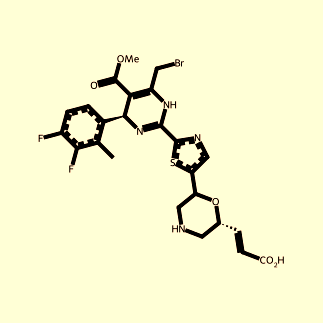 COC(=O)C1=C(CBr)NC(c2ncc(C3CNC[C@@H](/C=C/C(=O)O)O3)s2)=N[C@H]1c1ccc(F)c(F)c1C